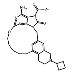 CCCC(=O)n1c(=O)n2c3nc(nc(N)c31)OCCCCCc1cc(cc3c1CCN(C1CCC1)C3)C2